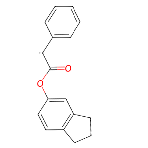 O=C([CH]c1ccccc1)Oc1ccc2c(c1)CCC2